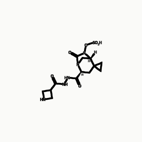 O=C(NNC(=O)[C@@H]1CC2(CC2)[C@@H]2CN1C(=O)N2OS(=O)(=O)O)C1CNC1